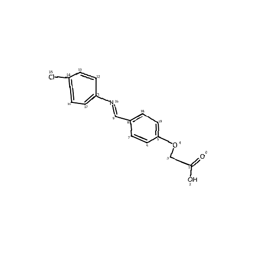 O=C(O)COc1ccc(C=Nc2ccc(Cl)cc2)cc1